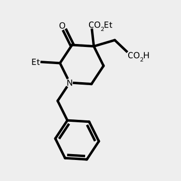 CCOC(=O)C1(CC(=O)O)CCN(Cc2ccccc2)C(CC)C1=O